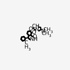 Cc1ccccc1-c1c[nH]c(=O)c2cc(O[C@H](C)C(=O)N3CC[C@H](N(C)C)C3)ccc12